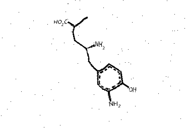 CC(C[C@@H](N)Cc1ccc(O)c(N)c1)C(=O)O